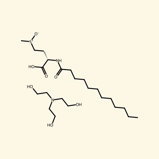 CCCCCCCCCCCC(=O)N[C@@H](CC[S+](C)[O-])C(=O)O.OCCN(CCO)CCO